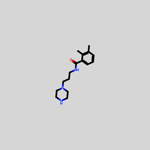 Cc1cccc(C(=O)NCCCN2CCNCC2)c1C